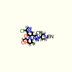 Cc1c(-c2cc(OC(CO)c3ccc(F)cn3)c3c(Cl)cnn3c2)nnn1[C@H]1CCN(C#N)C[C@@H]1F